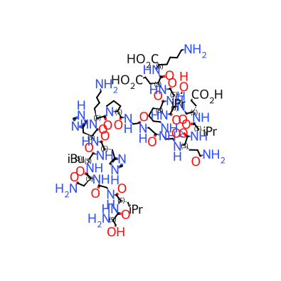 CC[C@H](C)[C@H](NC(=O)[C@H](CC(N)=O)NC(=O)CNC(=O)[C@H](CC(C)C)NC(=O)[C@@H](N)CO)C(=O)N[C@@H](Cc1c[nH]cn1)C(=O)N[C@@H](Cc1c[nH]cn1)C(=O)N[C@@H](CCCCN)C(=O)N1CCC[C@H]1C(=O)NCC(=O)NCC(=O)NCC(=O)N[C@@H](CCC(N)=O)C(=O)N[C@H](C(=O)N[C@@H](CCC(=O)O)C(=O)N[C@H](C(=O)N[C@@H](CCCCN)C(=O)N[C@@H](CO)C(=O)N[C@@H](CCC(=O)O)C(=O)N[C@@H](CCCCN)C(=O)O)C(C)C)C(C)C